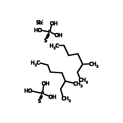 CCCCC(C)CC.CCCCC(C)CC.OP(O)(O)=S.OP(O)(O)=S.[Sb]